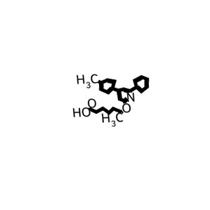 Cc1ccc(-c2cc(OC(C)CCCCC(=O)O)nc(-c3ccccc3)c2)cc1